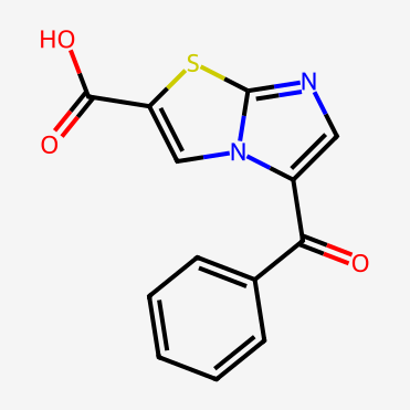 O=C(O)c1cn2c(C(=O)c3ccccc3)cnc2s1